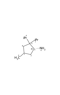 CC1C[C@@H](N)C(C(C)C)(C(C)C)C1